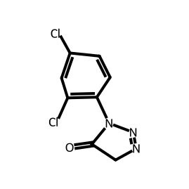 O=C1CN=NN1c1ccc(Cl)cc1Cl